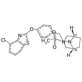 CS(=O)(=O)N1C[C@H]2CC[C@@H](C1)N2CCc1ccc(Oc2nc3c(Cl)cccc3s2)cc1